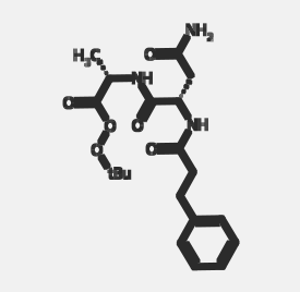 C[C@H](NC(=O)[C@H](CC(N)=O)NC(=O)CCc1ccccc1)C(=O)OOC(C)(C)C